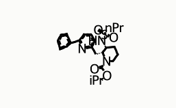 CCCS(=O)(=O)N[C@@H]1CCCN(C(=O)OC(C)C)[C@@H]1Cc1cccc(-c2ccccc2)n1